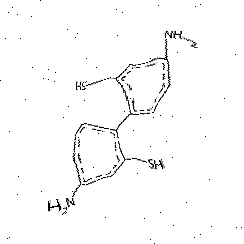 Nc1ccc(-c2ccc(N)cc2S)c(S)c1